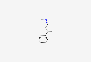 C=C(C/C(C)=N\C)c1ccccc1